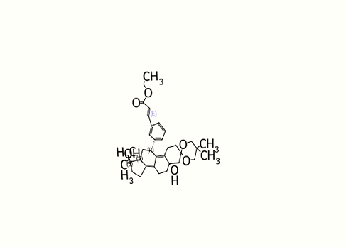 CCOC(=O)/C=C/c1cccc([C@H]2C[C@@]3(C)C(CC[C@]3(C)O)C3CCC4(O)CC5(CCC4=C32)OCC(C)(C)CO5)c1